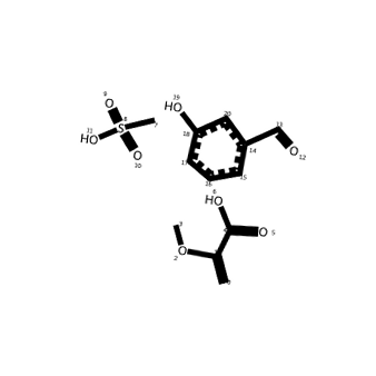 C=C(OC)C(=O)O.CS(=O)(=O)O.O=Cc1cccc(O)c1